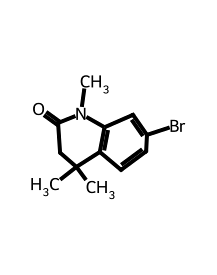 CN1C(=O)CC(C)(C)c2ccc(Br)cc21